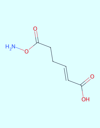 NOC(=O)CC/C=C/C(=O)O